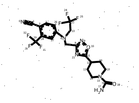 N#Cc1ccc(N(Cc2noc(C3CCN(C(N)=O)CC3)n2)CC(F)(F)F)cc1C(F)(F)F